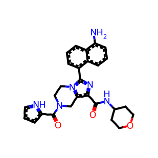 Nc1cccc2c(-c3nc(C(=O)NC4CCOCC4)c4n3CCN(C(=O)c3ccc[nH]3)C4)cccc12